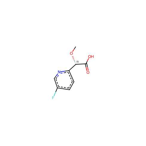 CO[C@H](C(=O)O)c1ccc(F)cn1